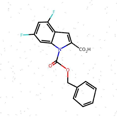 O=C(O)c1cc2c(F)cc(F)cc2n1C(=O)OCc1ccccc1